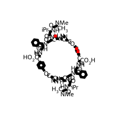 CN[C@@H](C)C(=O)N[C@H](C(=O)N1C[C@@H]2C[C@H]1C(=O)N[C@@H](CC1CCCCC1)C(=O)N[C@H](C(=O)O)Cc1ccc(cc1)OCc1cn(nn1)[C@H]1C[C@@H](C(=O)N[C@@H](CC3CCCCC3)C(=O)N[C@H](C(=O)O)Cc3ccc(cc3)OCc3cn2nn3)N(C(=O)[C@@H](NC(=O)[C@H](C)NC)C(C)C)C1)C(C)C